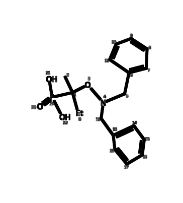 CCC(C)(ON(Cc1ccccc1)Cc1ccccc1)P(=O)(O)O